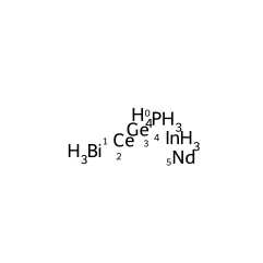 P.[BiH3].[Ce].[GeH4].[InH3].[Nd]